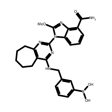 COc1nc2c(C(N)=O)cccc2n1-c1nc2c(c(NCc3cccc(B(O)O)c3)n1)CCCCC2